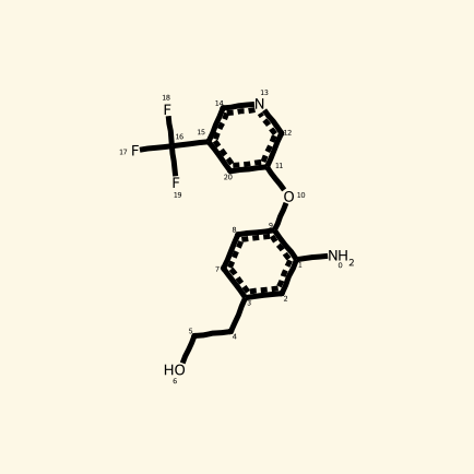 Nc1cc(CCO)ccc1Oc1cncc(C(F)(F)F)c1